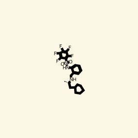 C[C@@H](CC1CCCCC1)NCc1ccccc1NS(=O)(=O)c1c(F)c(F)c(F)c(F)c1F